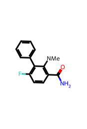 CNc1c(C(N)=O)ccc(F)c1-c1ccccc1